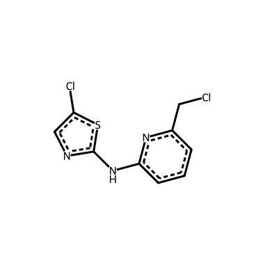 ClCc1cccc(Nc2ncc(Cl)s2)n1